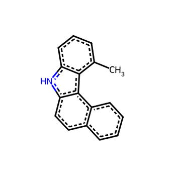 Cc1cccc2[nH]c3ccc4ccccc4c3c12